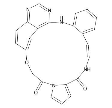 O=C1N/C=C\c2ccccc2Nc2ncnc3ccc(cc23)OCC(=O)n2cccc21